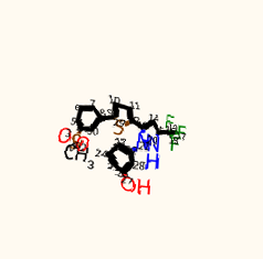 CS(=O)(=O)c1cccc(-c2ccc(C3=CC(C(F)(F)F)NN3c3cccc(O)c3)s2)c1